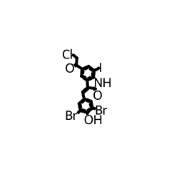 O=C1Nc2c(I)cc(C(=O)CCl)cc2/C1=C/c1cc(Br)c(O)c(Br)c1